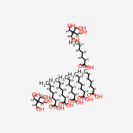 CCCCCCC(=O)O.CCCCCCC(=O)O.CCCCCCC(=O)O.CCCCCCC(=O)O.CCCCCCC(=O)O.CCCCCCC(=O)O.OCC(CO)(CO)CO.OCC(CO)(CO)CO